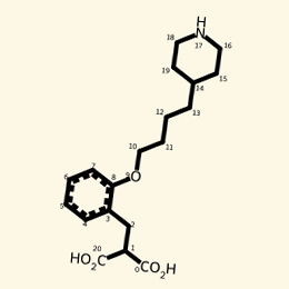 O=C(O)C(Cc1ccccc1OCCCCC1CCNCC1)C(=O)O